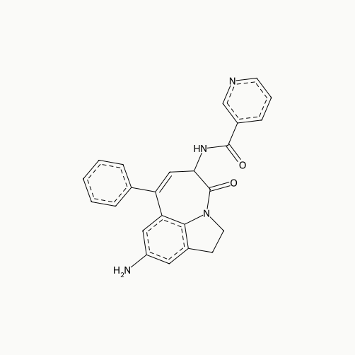 Nc1cc2c3c(c1)C(c1ccccc1)=CC(NC(=O)c1cccnc1)C(=O)N3CC2